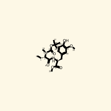 CC[C@@H](C(=O)N[C@@H](Cc1ccc(O)c(OC)c1)C(=O)OC)N(C)C(=O)OC(C)(C)C